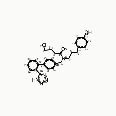 CCCCC(=O)N(CCCc1ccc(O)cc1)Cc1ccc(-c2ccccc2-c2nnn[nH]2)cc1